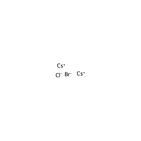 [Br-].[Cl-].[Cs+].[Cs+]